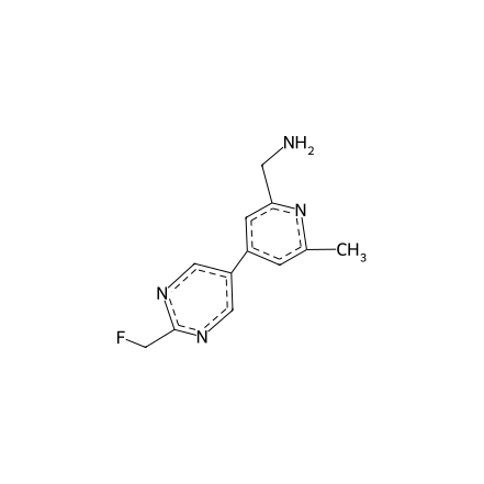 Cc1cc(-c2cnc(CF)nc2)cc(CN)n1